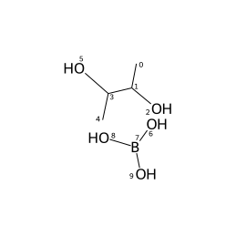 CC(O)C(C)O.OB(O)O